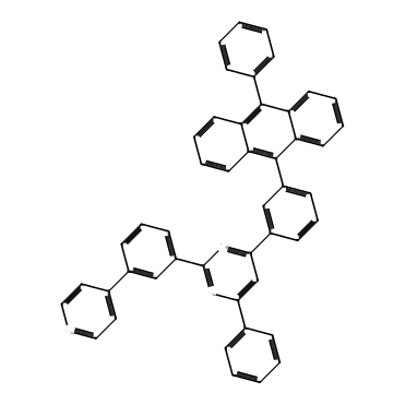 c1ccc(-c2cc(-c3cccc(-c4c5ccccc5c(-c5ccccc5)c5ccccc45)c3)nc(-c3cccc(-c4ccncc4)c3)n2)cc1